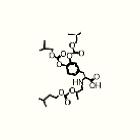 CC(C)CCOC(=O)OC(C)CN[C@@H](Cc1ccc(OC(=O)OCC(C)C)c(OC(=O)OCC(C)C)c1)C(=O)O